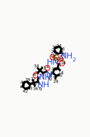 CNC(C(=O)NC(C(=O)N(C)C(C=C(C)C(=O)NS(=O)(=O)c1ccccc1N)C(C)C)C(C)(C)C)C(C)(C)c1ccccc1